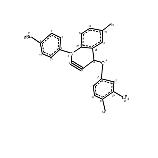 CCCCc1ccc(N2C#CC(Oc3ccc(C)c(C(F)(F)F)c3)c3cc(C)ccc32)cc1